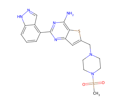 CS(=O)(=O)N1CCN(Cc2cc3nc(-c4cccc5[nH]ncc45)nc(N)c3s2)CC1